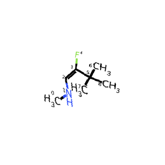 CN/C=C(/F)C(C)(C)C